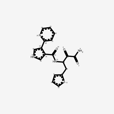 NC(=O)C(=O)C(Cc1cccs1)NC(=O)c1c[nH]cc1-c1ccccn1